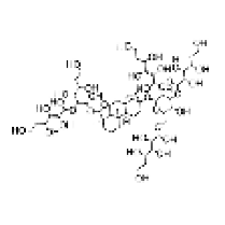 C=C1C[C@@]23CCC4[C@](C)(C(=O)OC(O)C(OC(O)/C(O)=C(\O)C(O)CCO)C(O)C(O)CCO)CCC[C@@]4(C)[C@@H]2CC[C@]1(OC1OC(COC(O)C(O)C(O)C(O)CCO)C(O)C(OC(O)C(O)C(O)C(O)CCO)C1OC(O)/C(O)=C(\O)C(O)CCO)C3